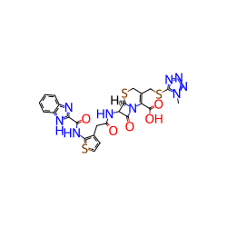 Cn1nnnc1SCC1=C(C(=O)O)N2C(=O)C(NC(=O)Cc3ccsc3NC(=O)c3nc4ccccc4[nH]3)[C@H]2SC1